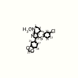 Cn1cccc2c(Sc3ccc(Cl)cc3)c(-c3ccc4c(c3)OCO4)nc1-2